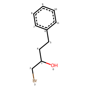 OC(CBr)CCc1ccccc1